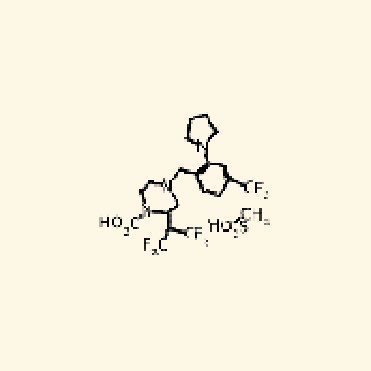 CS(=O)(=O)O.O=C(O)N1CCN(Cc2ccc(C(F)(F)F)cc2N2CCCC2)CC1C(C(F)(F)F)C(F)(F)F